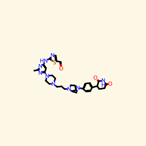 Cc1nc(Nc2ncc(C=O)s2)cc(N2CCN(CCCN3CC4CC3CN4c3ccc(C4CCC(=O)NC4=O)cc3)CC2)n1